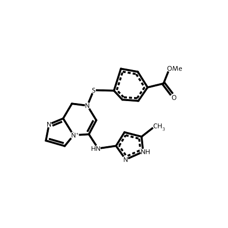 COC(=O)c1ccc(SN2C=C(Nc3cc(C)[nH]n3)[N+]3C=CN=C3C2)cc1